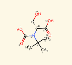 CC(C)(C)N(C(=O)O)[C@H](CO)C(=O)O